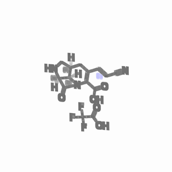 N#C/C=C/C1=C(C(=O)O)N2C(=O)[C@H]3NC[C@@H](C1)[C@H]32.O=C(O)C(F)(F)F